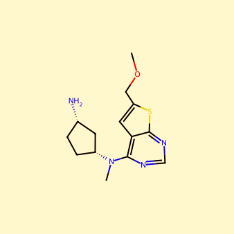 COCc1cc2c(N(C)[C@@H]3CC[C@H](N)C3)ncnc2s1